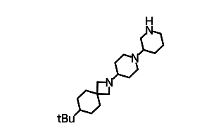 CC(C)(C)C1CCC2(CC1)CN(C1CCN(C3CCCNC3)CC1)C2